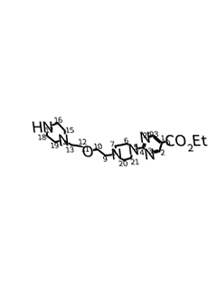 CCOC(=O)c1cnc(N2CCN(CCOCCN3CCNCC3)CC2)nc1